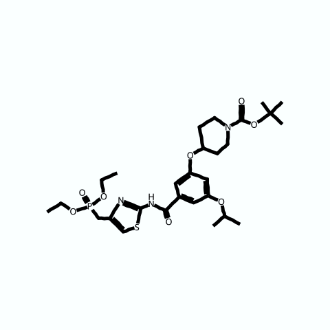 CCOP(=O)(Cc1csc(NC(=O)c2cc(OC(C)C)cc(OC3CCN(C(=O)OC(C)(C)C)CC3)c2)n1)OCC